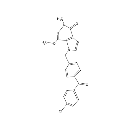 COc1nn(C)c(=O)c2ncn(Cc3ccc(C(=O)c4ccc(Cl)cc4)cc3)c12